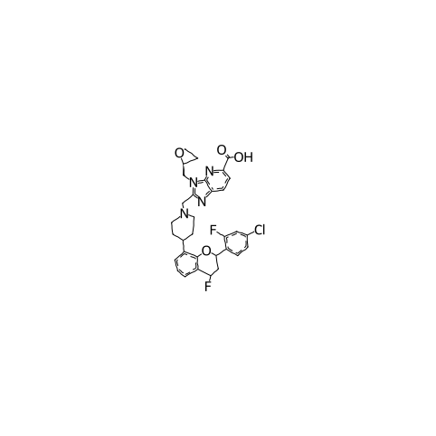 O=C(O)c1ccc2nc(CN3CCC(c4cccc5c4OC(c4ccc(Cl)cc4F)CC5F)CC3)n(C[C@@H]3CCO3)c2n1